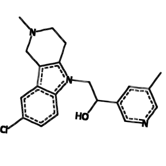 Cc1cncc(C(O)Cn2c3c(c4cc(Cl)ccc42)CN(C)CC3)c1